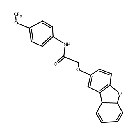 O=C(COc1ccc2c(c1)C1C=CC=CC1O2)Nc1ccc(OC(F)(F)F)cc1